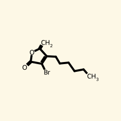 C=C1OC(=O)C(Br)=C1CCCCCC